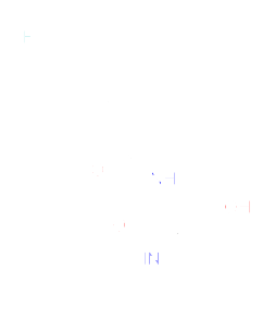 O=C(Cc1ccc(F)cc1)NC(=O)C1(CO)CCCN1